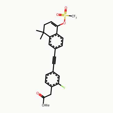 COC(=O)Cc1ccc(C#Cc2ccc3c(c2)C(C)(C)CC=C3OS(=O)(=O)C(F)(F)F)cc1F